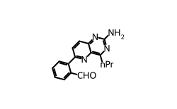 CCCc1nc(N)nc2ccc(-c3ccccc3C=O)nc12